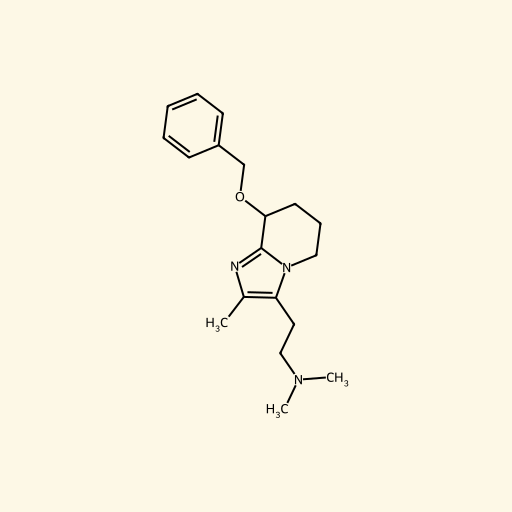 Cc1nc2n(c1CCN(C)C)CCCC2OCc1ccccc1